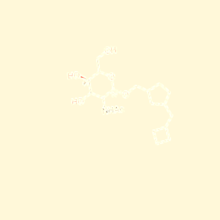 CC(=O)NC1C(O)[C@@H](O)C(CO)O[C@@H]1OCC1CCC(CC2CCC2)C1